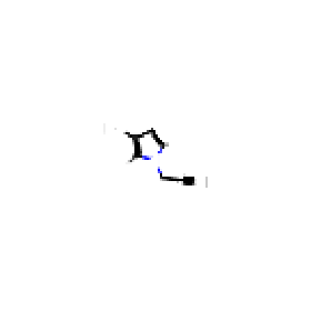 C#CCn1ccc(C)c1C(F)(F)F